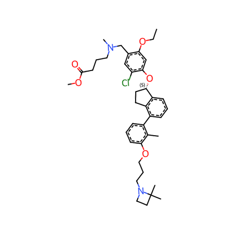 CCOc1cc(O[C@H]2CCc3c(-c4cccc(OCCCN5CCC5(C)C)c4C)cccc32)c(Cl)cc1CN(C)CCCC(=O)OC